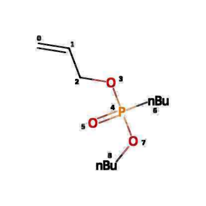 C=CCOP(=O)(CCCC)OCCCC